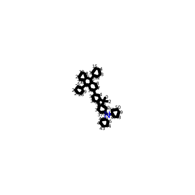 CC1(C)c2cc(-c3ccc4c(-c5ccccc5)c5ccccc5c(-c5ccccc5)c4c3)ccc2-c2ccc(N(c3ccccc3)c3ccccc3)cc21